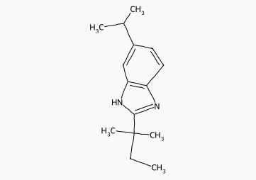 CCC(C)(C)c1nc2ccc(C(C)C)cc2[nH]1